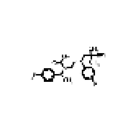 Bc1ccc([C@H](C)N(CC[C@H](CC(C)(C)C#N)c2ccc(F)cc2)C(=O)O)cc1